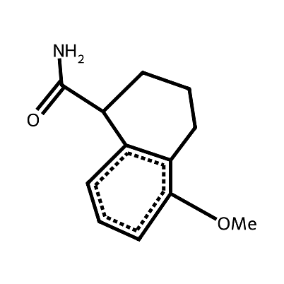 COc1cccc2c1CCCC2C(N)=O